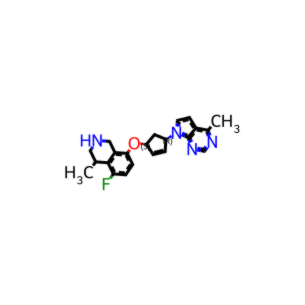 Cc1ncnc2c1ccn2[C@H]1C=C[C@@H](Oc2ccc(F)c3c2CNCC3C)C1